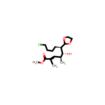 COC(=O)/C(C)=C/[C@H](C)[C@@H](O)[C@@H](CCCCCl)C1OCCO1